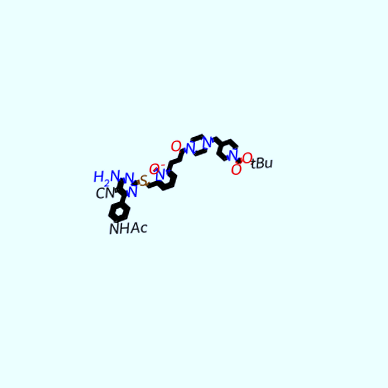 [C-]#[N+]c1c(N)nc(SCc2cccc(CCC(=O)N3CCN(CC4CCN(C(=O)OC(C)(C)C)CC4)CC3)[n+]2[O-])nc1-c1ccc(NC(C)=O)cc1